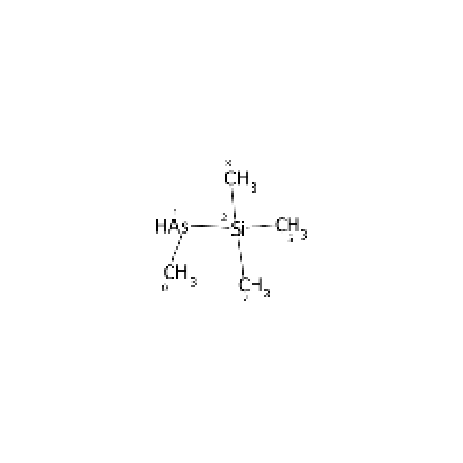 C[AsH][Si](C)(C)C